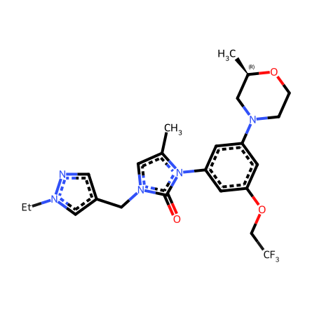 CCn1cc(Cn2cc(C)n(-c3cc(OCC(F)(F)F)cc(N4CCO[C@H](C)C4)c3)c2=O)cn1